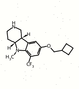 CN1c2c(cc(OCC3CCC3)cc2C(F)(F)F)[C@H]2CNCC[C@H]21